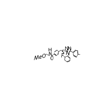 COCCNC(=O)c1ccc(CSc2nnc(-c3ccc(C)cc3)n2C2=CC=CCC2F)cc1